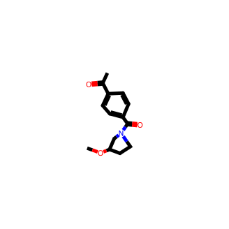 COC1CCN(C(=O)c2ccc(C(C)=O)cc2)C1